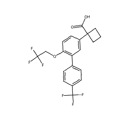 O=C(O)C1(c2ccc(OCC(F)(F)F)c(-c3ccc(C(F)(F)F)cc3)c2)CCC1